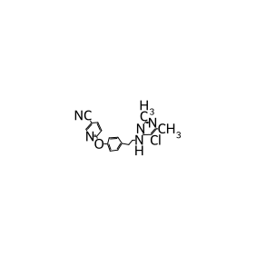 Cc1nc(C)c(Cl)c(NCCc2ccc(Oc3ccc(C#N)cn3)cc2)n1